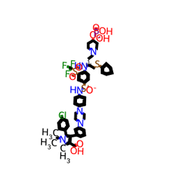 Cc1c(C(=O)O)c(-c2cccc(N3CCN(c4ccc(N[S+]([O-])c5ccc(N[C@H](CCN6CCC(OP(=O)(O)O)CC6)CSc6ccccc6)c(S(=O)(=O)C(F)(F)F)c5)cc4)CC3)c2)c(-c2ccc(Cl)cc2)n1C(C)C